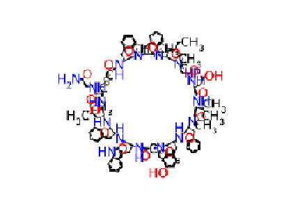 CCCC[C@H]1C(=O)N(C)CC(=O)N[C@@H](CC(O)=P)C(=O)N[C@@H](C(C)C)C(=O)N(C)[C@@H](Cc2ccccc2)C(=O)N[C@@H](Cc2ccc(O)cc2)C(=O)N(C)CC(=O)N[C@@H](Cc2c[nH]c3ccccc23)C(=O)N[C@@H](Cc2ccccc2)C(=O)N[C@@H](CC(C)C)C(=O)N[C@H](C(=O)NCC(N)=O)CSCC(=O)N[C@@H](Cc2ccccc2)C(=O)N(C)[C@@H](Cc2ccccc2)C(=O)N1C